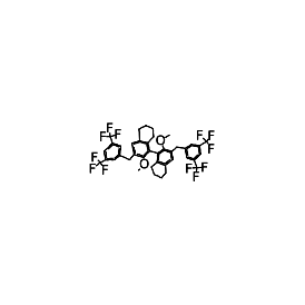 COc1c(Cc2cc(C(F)(F)F)cc(C(F)(F)F)c2)cc2c(c1-c1c3c(cc(Cc4cc(C(F)(F)F)cc(C(F)(F)F)c4)c1OC)CCCC3)CCCC2